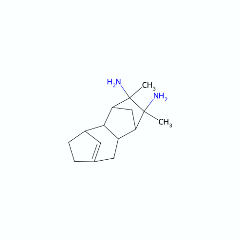 CC1(N)C2CC(C3C4C=C(CC4)CC32)C1(C)N